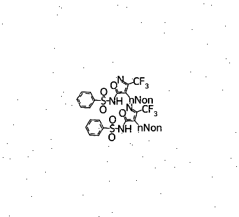 CCCCCCCCCc1c(C(F)(F)F)noc1NS(=O)(=O)c1ccccc1.CCCCCCCCCc1c(C(F)(F)F)noc1NS(=O)(=O)c1ccccc1